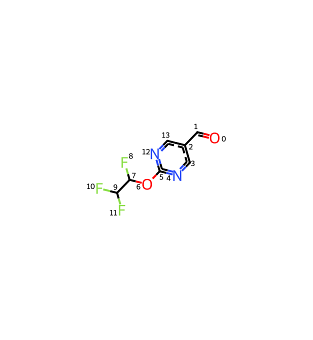 O=Cc1cnc(OC(F)C(F)F)nc1